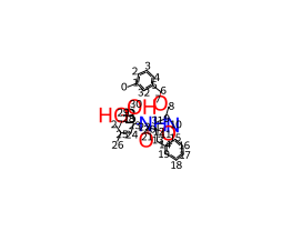 Cc1cccc(COCC2=NOC(Cc3ccccc3)(C(=O)NC(CC(C)C)B(O)O)C2)c1